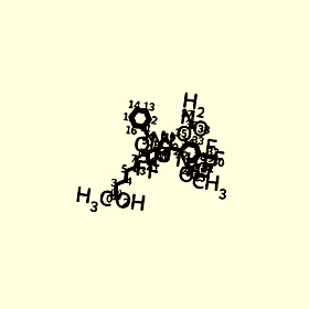 C[C@@H](O)CCCCC[C@@](OCc1ccccc1)(c1nnc(-c2nc(S(C)(=O)=O)c(C(F)(F)F)cc2OC(N)=O)o1)C(F)(F)F